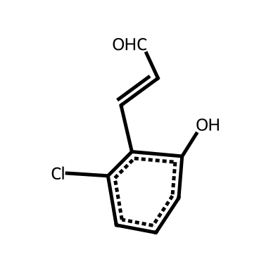 O=C/C=C/c1c(O)cccc1Cl